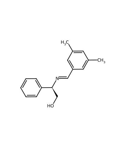 Cc1cc(C)cc(C=N[C@@H](CO)c2ccccc2)c1